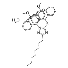 CCCCCCCCc1nc(SC(c2ccccc2)c2ccccc2C(=O)OC)n(C(c2ccccc2)c2ccccc2C(=O)OC)n1.O